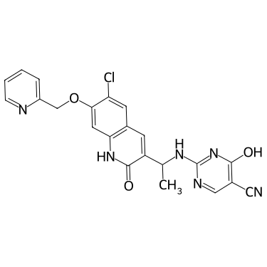 CC(Nc1ncc(C#N)c(O)n1)c1cc2cc(Cl)c(OCc3ccccn3)cc2[nH]c1=O